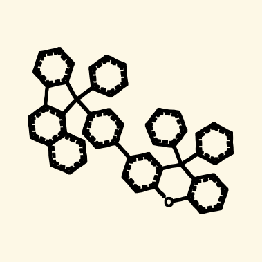 c1ccc(C2(c3ccccc3)c3ccccc3Oc3ccc(-c4ccc(C5(c6ccccc6)c6ccccc6-c6ccc7ccccc7c65)cc4)cc32)cc1